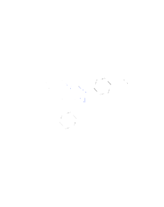 C[C@H](N[N+](=CNCC(=O)O)c1ccc(C#N)cc1)c1ccccc1